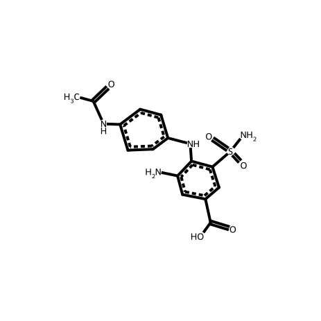 CC(=O)Nc1ccc(Nc2c(N)cc(C(=O)O)cc2S(N)(=O)=O)cc1